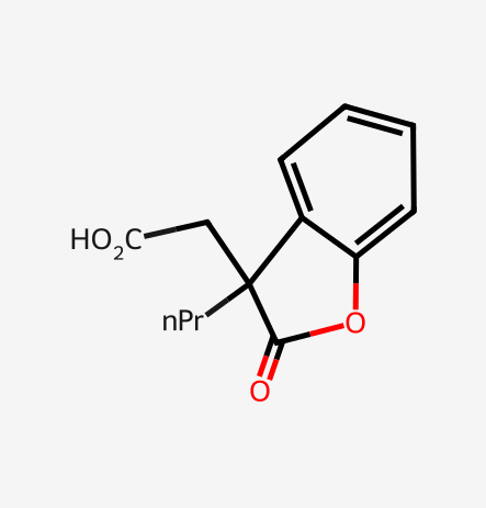 CCCC1(CC(=O)O)C(=O)Oc2ccccc21